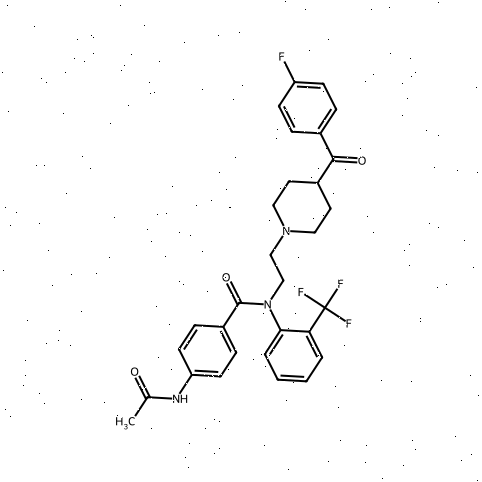 CC(=O)Nc1ccc(C(=O)N(CCN2CCC(C(=O)c3ccc(F)cc3)CC2)c2ccccc2C(F)(F)F)cc1